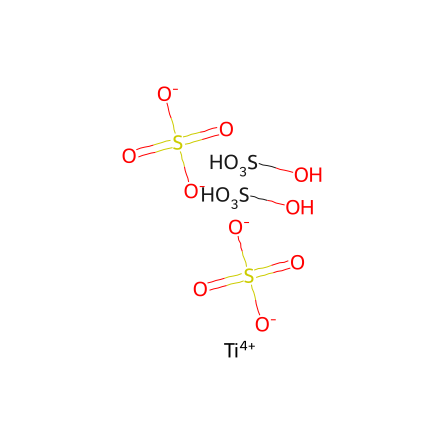 O=S(=O)(O)O.O=S(=O)(O)O.O=S(=O)([O-])[O-].O=S(=O)([O-])[O-].[Ti+4]